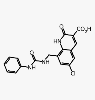 O=C(NCc1cc(Cl)cc2cc(C(=O)O)c(=O)[nH]c12)Nc1ccccc1